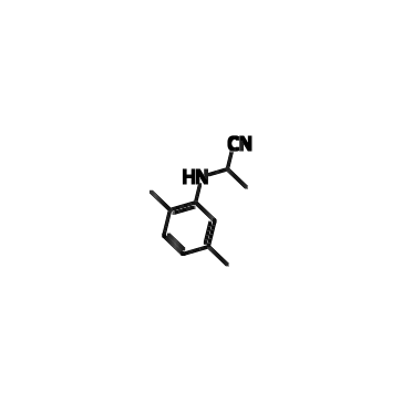 Cc1ccc(C)c(NC(C)C#N)c1